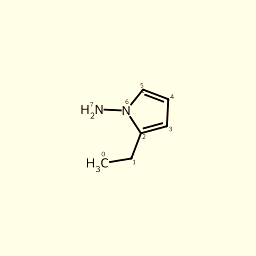 CCc1cc[c]n1N